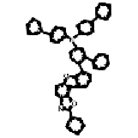 c1ccc(-c2ccc(N(c3ccc(-c4ccccc4)cc3)c3ccc(-c4cccc5c4oc4ccc6nc(-c7ccccc7)oc6c45)c(-c4ccccc4)c3)cc2)cc1